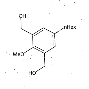 CCCCCCc1cc(CO)c(OC)c(CO)c1